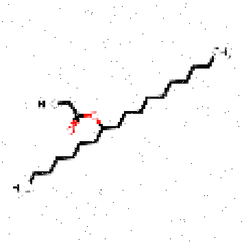 CCCCCCCCCCC(CCCCCCC)OC(=O)CC